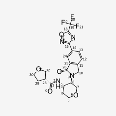 O=C(N[C@H]1CCOCC1N1Cc2ccc(-c3noc(C(F)(F)F)n3)cc2C1=O)[C@@H]1CCOC1